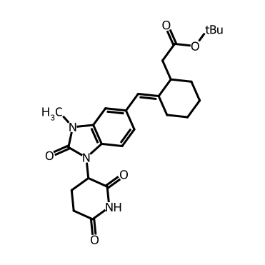 Cn1c(=O)n(C2CCC(=O)NC2=O)c2ccc(C=C3CCCCC3CC(=O)OC(C)(C)C)cc21